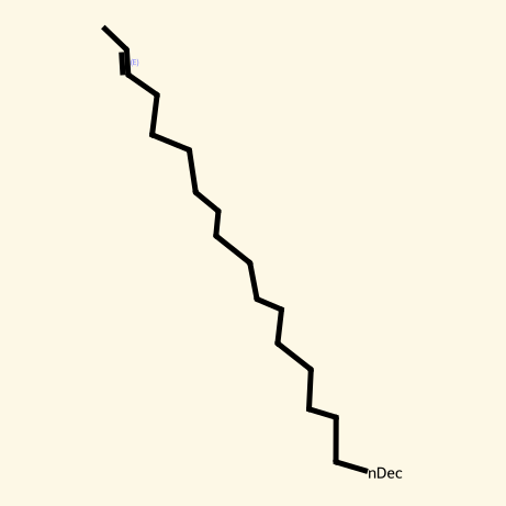 C/C=C/CCCCCCCCCCCCCCCCCCCCCCCC